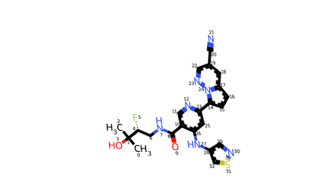 CC(C)(O)[C@H](F)CNC(=O)c1cnc(-c2ccc3cc(C#N)cnn23)cc1Nc1cnsc1